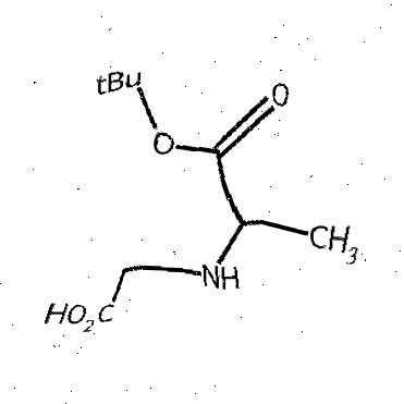 CC(NCC(=O)O)C(=O)OC(C)(C)C